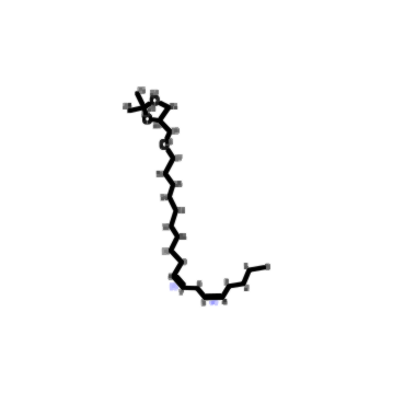 CCCC/C=C\C/C=C\CCCCCCCCCOCC1COC(C)(C)O1